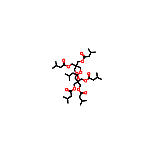 CC(C)CC(=O)OCC(COCC(COC(=O)CC(C)C)(COC(=O)CC(C)C)COC(=O)CC(C)C)(COC(=O)CC(C)C)COC(=O)CC(C)C